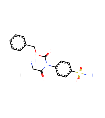 C[C@H](N)C(=O)N(C(=O)OCc1ccccc1)c1ccc(S(N)(=O)=O)cc1